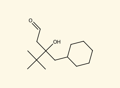 CC(C)(C)C(O)(CC=O)CC1CCCCC1